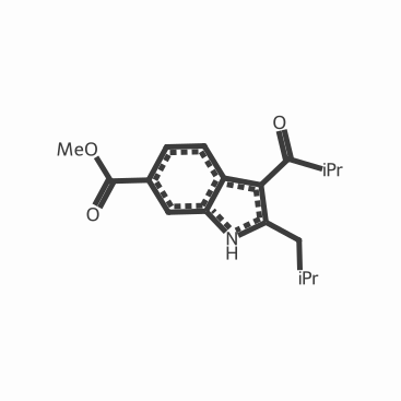 COC(=O)c1ccc2c(C(=O)C(C)C)c(CC(C)C)[nH]c2c1